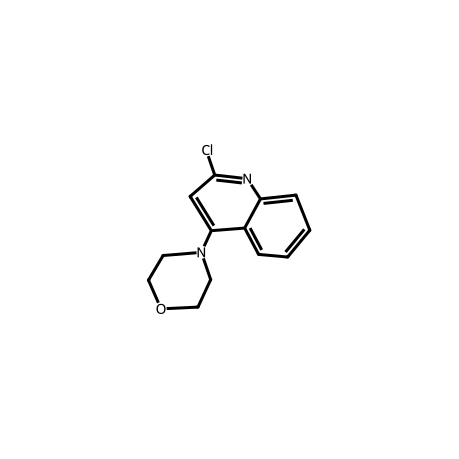 Clc1cc(N2CCOCC2)c2ccccc2n1